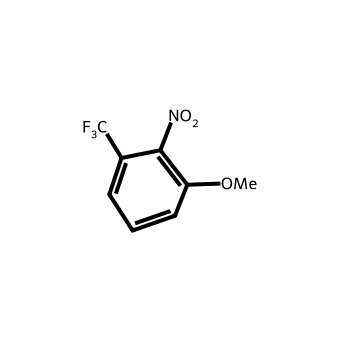 COc1cccc(C(F)(F)F)c1[N+](=O)[O-]